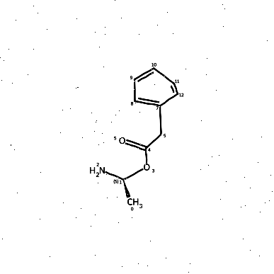 C[C@@H](N)OC(=O)Cc1ccccc1